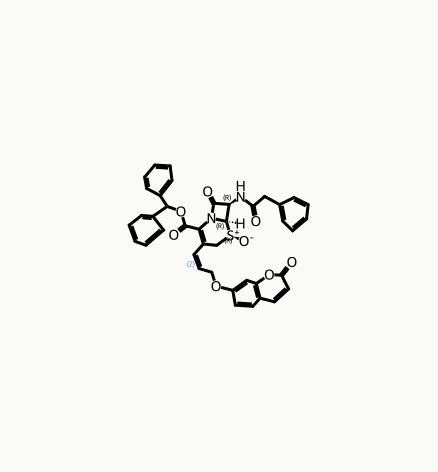 O=C(Cc1ccccc1)N[C@@H]1C(=O)N2C(C(=O)OC(c3ccccc3)c3ccccc3)=C(/C=C\COc3ccc4ccc(=O)oc4c3)C[S@+]([O-])[C@H]12